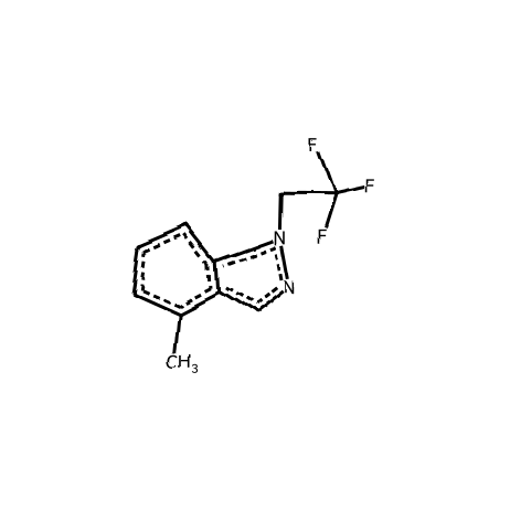 Cc1cccc2c1cnn2CC(F)(F)F